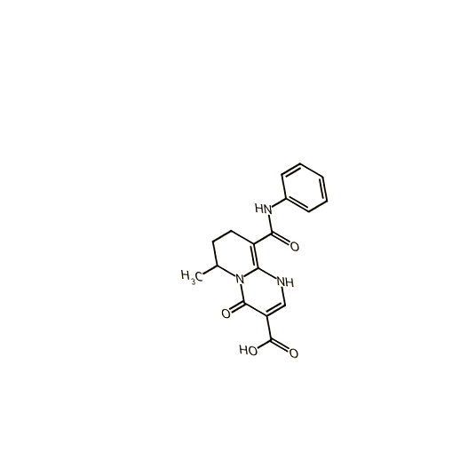 CC1CCC(C(=O)Nc2ccccc2)=C2NC=C(C(=O)O)C(=O)N21